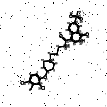 Cc1c(Cl)ccc(OC2CCN(CCCNC(=O)c3c[nH]c(=O)c4cc(S(C)(=O)=O)ccc34)CC2)c1Cl